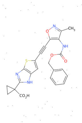 Cc1noc(C#Cc2cc3[nH]c(C4(C(=O)O)CC4)nc3s2)c1NC(=O)OCc1ccccc1